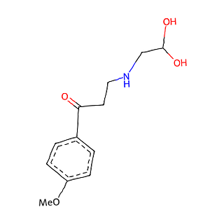 COc1ccc(C(=O)CCNCC(O)O)cc1